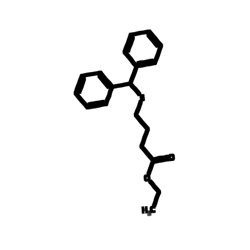 CCOC(=O)CCCSC(c1ccccc1)c1ccccc1